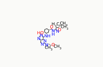 COCCN(C)c1ncc2ncnc(Nc3cc(C(=O)Nc4cc(C(C)(C)C)on4)ccc3O)c2n1